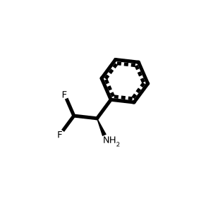 N[C@H](c1ccccc1)C(F)F